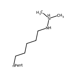 CCCCCCCCCCN[SiH](C)C